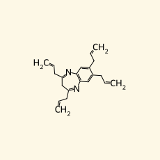 C=CCC1=Nc2cc(CC=C)c(CC=C)cc2N=C(CC=C)C1